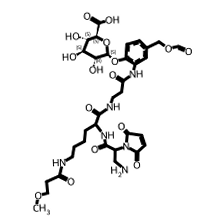 COCCC(=O)NCCCCC(NC(=O)C(CN)N1C(=O)C=CC1=O)C(=O)NCCC(=O)Nc1cc(COC=O)ccc1O[C@@H]1O[C@H](C(=O)O)[C@@H](O)[C@H](O)[C@H]1O